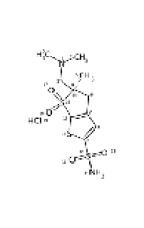 CN(C)C[C@@]1(C)Cc2cc(S(N)(=O)=O)sc2S1(=O)=O.Cl